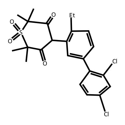 CCc1ccc(-c2ccc(Cl)cc2Cl)cc1C1C(=O)C(C)(C)S(=O)(=O)C(C)(C)C1=O